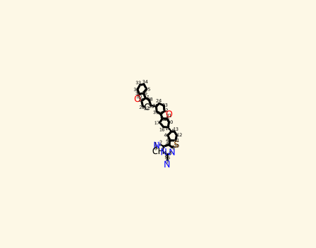 C/N=C\c1nc(C#N)nc2sc3ccc(-c4ccc5c(c4)oc4ccc(-c6ccc7oc8ccccc8c7c6)cc45)cc3c12